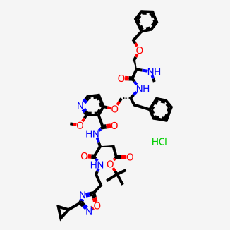 CN[C@H](COCc1ccccc1)C(=O)N[C@@H](COc1ccnc(OC)c1C(=O)N[C@@H](CC(=O)OC(C)(C)C)C(=O)NCCc1nc(C2CC2)no1)Cc1ccccc1.Cl